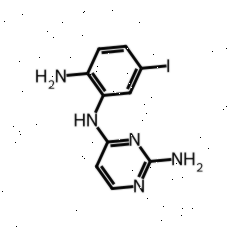 Nc1nccc(Nc2cc(I)ccc2N)n1